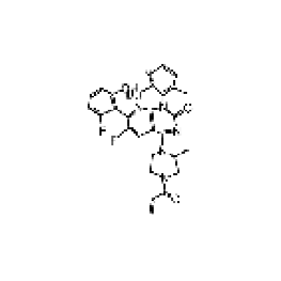 C=CC(=O)N1CCN(c2nc(=O)n(-c3c(C)ccnc3C(C)CC)c3nc(-c4c(O)cccc4F)c(F)cc23)[C@@H](C)C1